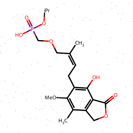 COc1c(C)c2c(c(O)c1CC=C(C)COCP(=O)(O)OC(C)C)C(=O)OC2